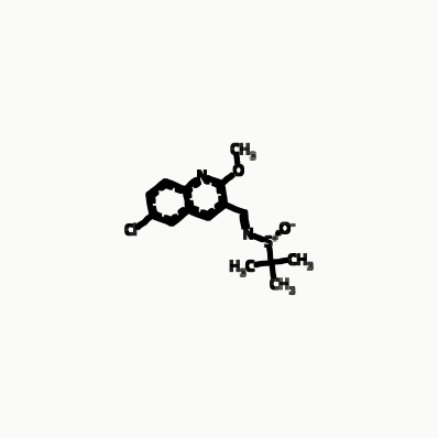 COc1nc2ccc(Cl)cc2cc1C=N[S@@+]([O-])C(C)(C)C